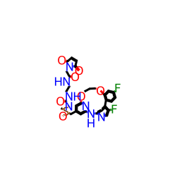 CS(=O)(Cc1cc2nc(c1)OCCCOc1cc(F)ccc1-c1cc(ncc1F)N2)=NC(=O)NCCNC(=O)CN1C(=O)C=CC1=O